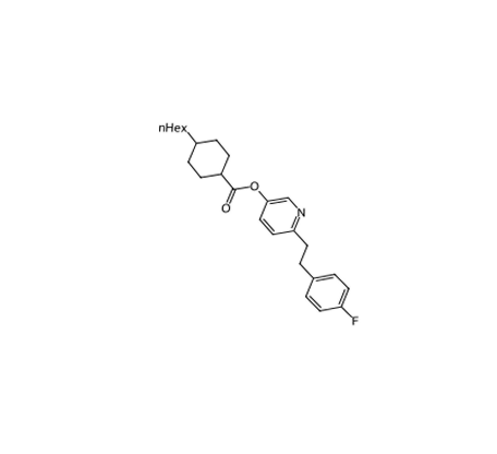 CCCCCCC1CCC(C(=O)Oc2ccc(CCc3ccc(F)cc3)nc2)CC1